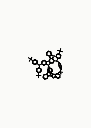 CC(C)(C)c1ccc(N(c2ccc(C(C)(C)C)cc2)c2ccc3c(c2)C2(c4ccc5sc6ccccc6c5c4)c4ccc5c(c4)sc4cccc(c45)C(C)(C)c4ccc(nc4)N(c4ccc(C(C)(C)C)cc4)c4cc2c-3c2c4oc3ccccc32)cc1